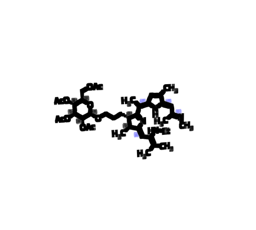 CCNC(/C=C1N=C(/C(C)=c2/cc(C)/c(=C/C(C)=N/C)[nH]2)[C@@H](CCCO[C@@H]2O[C@H](COC(C)=O)[C@@H](OC(C)=O)[C@H](OC(C)=O)[C@H]2OC(C)=O)[C@@H]\1C)=C(C)C